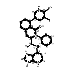 Cc1cc(-c2cccc3cc([C@H](C)Nc4ncnc5scnc45)n(-c4ccccc4)c(=O)c23)cnc1F